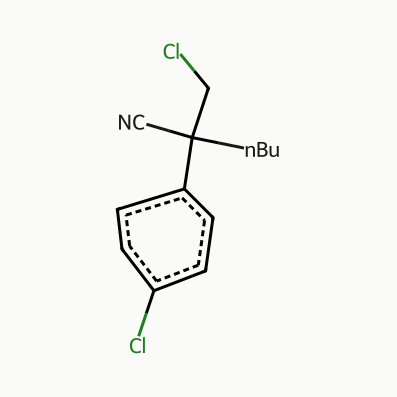 CCCCC(C#N)(CCl)c1ccc(Cl)cc1